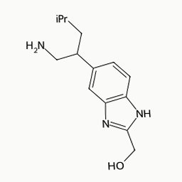 CC(C)CC(CN)c1ccc2[nH]c(CO)nc2c1